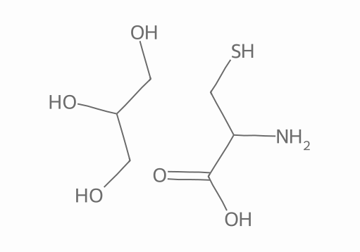 NC(CS)C(=O)O.OCC(O)CO